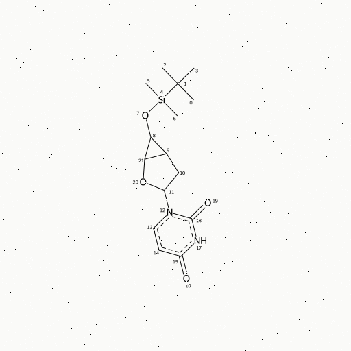 CC(C)(C)[Si](C)(C)OC1C2CC(n3ccc(=O)[nH]c3=O)OC21